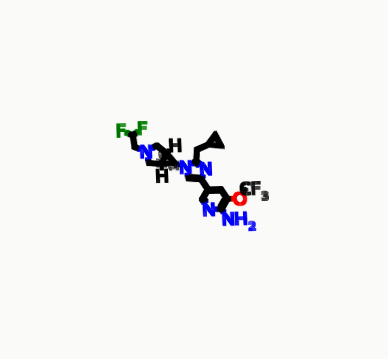 Nc1ncc(-c2cn([C@H]3[C@@H]4CN(CC(F)F)C[C@@H]43)c(CC3CC3)n2)cc1OC(F)(F)F